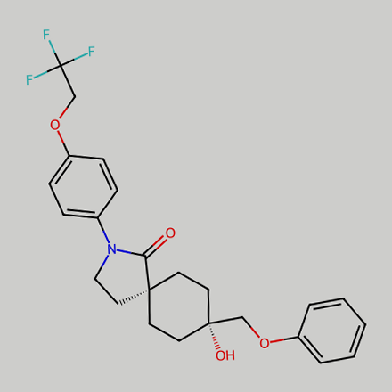 O=C1N(c2ccc(OCC(F)(F)F)cc2)CC[C@]12CC[C@](O)(COc1ccccc1)CC2